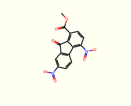 COC(=O)c1ccc([N+](=O)[O-])c2c1C(=O)c1cc([N+](=O)[O-])ccc1-2